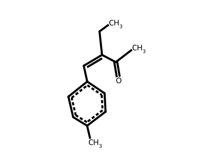 CCC(=Cc1ccc(C)cc1)C(C)=O